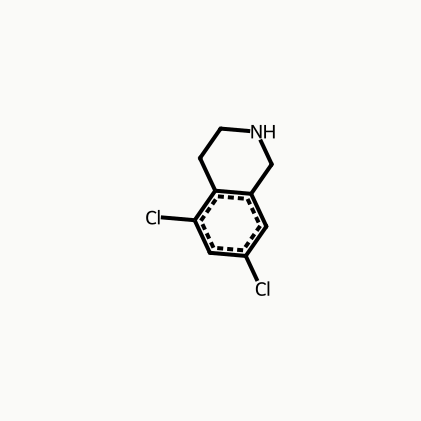 Clc1cc(Cl)c2c(c1)CNCC2